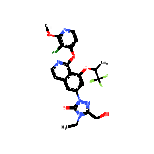 CCn1c(CO)nn(-c2cc(OC(C)C(F)(F)F)c3c(Oc4ccnc(OC)c4Cl)nccc3c2)c1=O